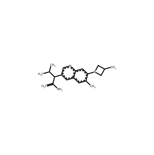 C=C(N)C(c1cnc2cc(N3CC(C)C3)c(C)cc2c1)C(C)C